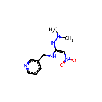 CN(C)NC(=C[N+](=O)[O-])NCc1cccnc1